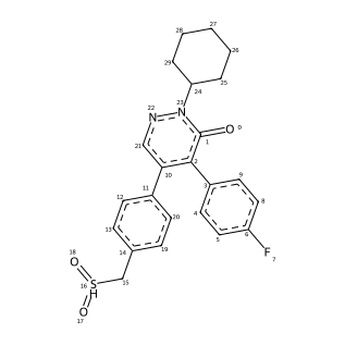 O=c1c(-c2ccc(F)cc2)c(-c2ccc(C[SH](=O)=O)cc2)cnn1C1CCCCC1